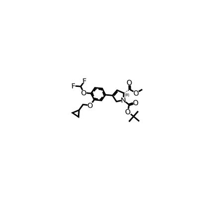 COC(=O)[C@H]1C=C(c2ccc(OC(F)F)c(OCC3CC3)c2)CN1C(=O)OC(C)(C)C